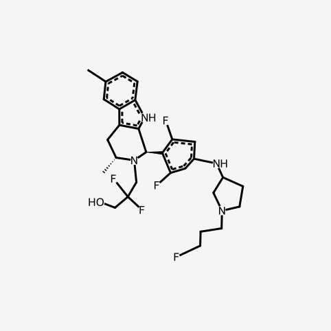 Cc1ccc2[nH]c3c(c2c1)C[C@@H](C)N(CC(F)(F)CO)[C@@H]3c1c(F)cc(NC2CCN(CCCF)C2)cc1F